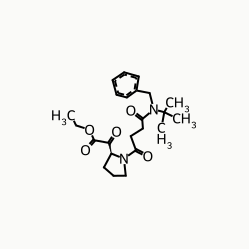 CCOC(=O)C(=O)[C@@H]1CCCN1C(=O)CCC(=O)N(Cc1ccccc1)C(C)(C)C